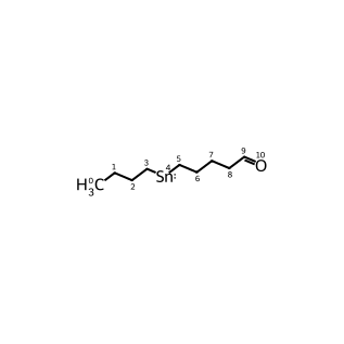 CCC[CH2][Sn][CH2]CCCC=O